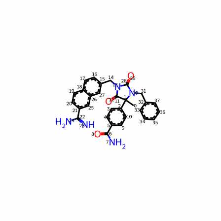 CC1(c2ccc(C(N)=O)cc2)C(=O)N(Cc2ccc3ccc(C(=N)N)cc3c2)C(=O)N1Cc1ccccc1